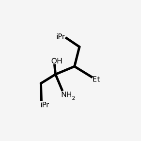 CCC(CC(C)C)C(N)(O)CC(C)C